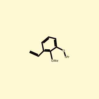 C=[C]c1cccc(OCCC)c1OC